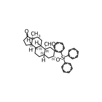 C[C@]12CC[C@H]3[C@@H](CC[C@H]4C[C@@H](O[Si](c5ccccc5)(c5ccccc5)c5ccccc5)CC[C@@]43C=O)[C@@H]1CCC2=O